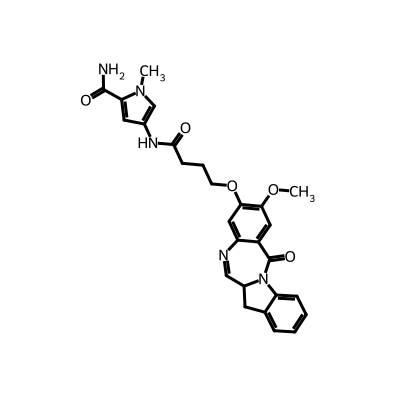 COc1cc2c(cc1OCCCC(=O)Nc1cc(C(N)=O)n(C)c1)N=CC1Cc3ccccc3N1C2=O